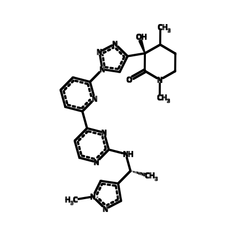 CC1CCN(C)C(=O)[C@]1(O)c1cn(-c2cccc(-c3ccnc(N[C@H](C)c4cnn(C)c4)n3)n2)nn1